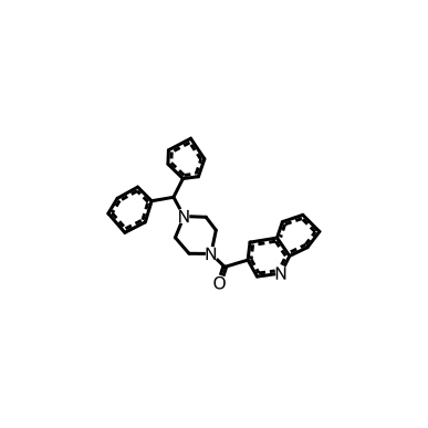 O=C(c1cnc2ccccc2c1)N1CCN(C(c2ccccc2)c2ccccc2)CC1